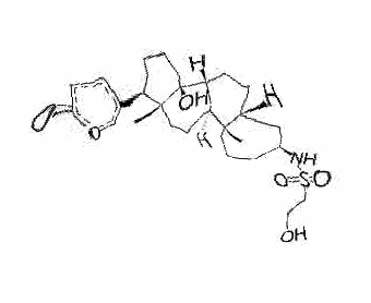 C[C@]12CC[C@H](NS(=O)(=O)CCO)C[C@H]1CC[C@@H]1[C@@H]2CC[C@]2(C)[C@@H](c3ccc(=O)oc3)CC[C@]12O